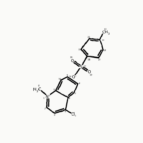 C[n+]1ccc(Cl)c2ccccc21.Cc1ccc(S(=O)(=O)[O-])cc1